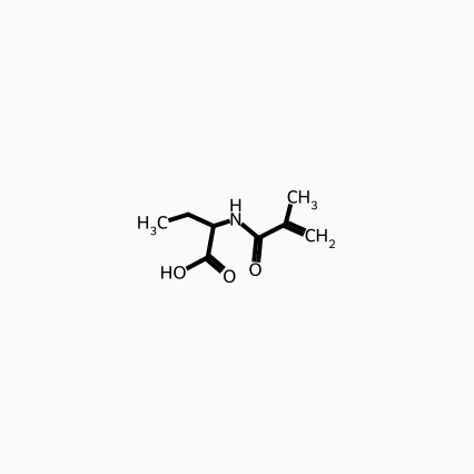 C=C(C)C(=O)NC(CC)C(=O)O